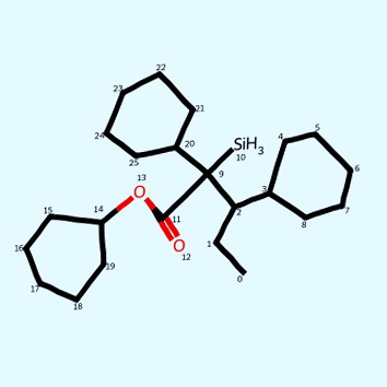 CCC(C1CCCCC1)C([SiH3])(C(=O)OC1CCCCC1)C1CCCCC1